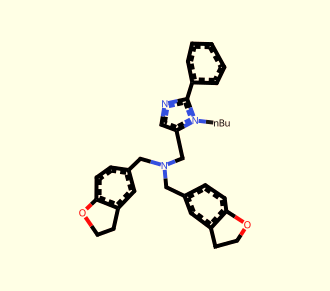 CCCCn1c(CN(Cc2ccc3c(c2)CCO3)Cc2ccc3c(c2)CCO3)cnc1-c1ccccc1